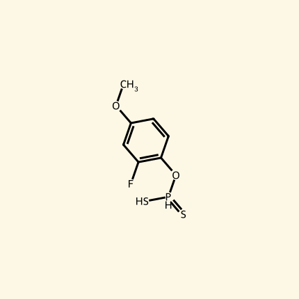 COc1ccc(O[PH](=S)S)c(F)c1